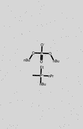 CCCCOP(=O)([O-])OCCCC.CCCC[P+](C)(CC)CCC